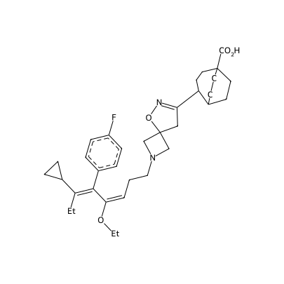 CCOC(=C/CCN1CC2(CC(C3CCC4(C(=O)O)CCC3CC4)=NO2)C1)/C(=C(\CC)C1CC1)c1ccc(F)cc1